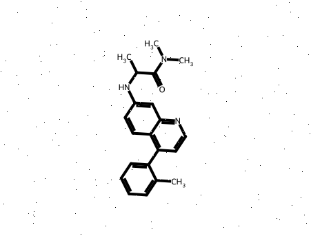 Cc1ccccc1-c1ccnc2cc(NC(C)C(=O)N(C)C)ccc12